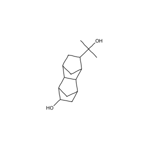 CC(C)(O)C1CC2CC1C1C3CC(O)C(C3)C21